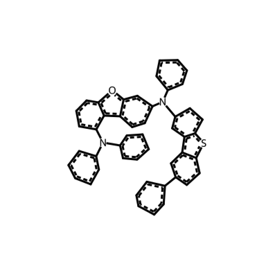 c1ccc(-c2ccc3sc4ccc(N(c5ccccc5)c5ccc6c(c5)oc5cccc(N(c7ccccc7)c7ccccc7)c56)cc4c3c2)cc1